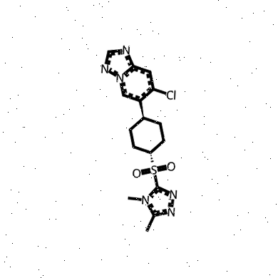 Cc1nnc(S(=O)(=O)[C@H]2CC[C@H](c3cn4ncnc4cc3Cl)CC2)n1C